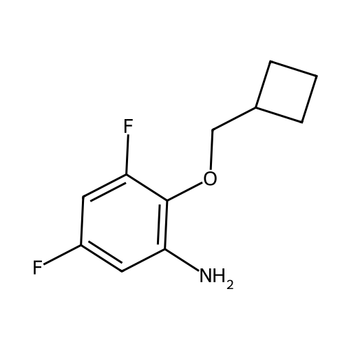 Nc1cc(F)cc(F)c1OCC1CCC1